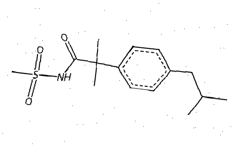 CC(C)Cc1ccc(C(C)(C)C(=O)NS(C)(=O)=O)cc1